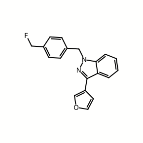 FCc1ccc(Cn2nc(-c3ccoc3)c3ccccc32)cc1